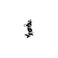 CCC(C)OC(=O)C(C)Oc1ccc(Oc2ncc(C(F)(F)F)cc2Cl)cc1